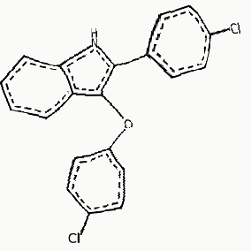 Clc1ccc(Oc2c(-c3ccc(Cl)cc3)[nH]c3ccccc23)cc1